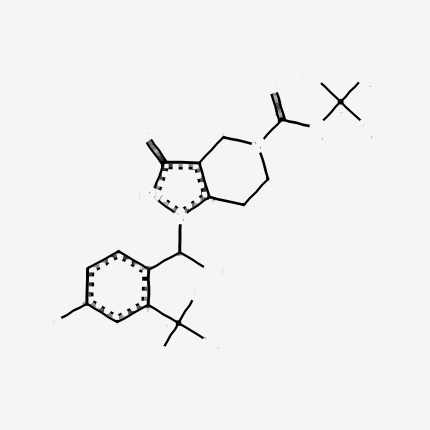 CC(c1ccc(F)cc1C(F)(F)F)n1[nH]c(=O)c2c1CCN(C(=O)OC(C)(C)C)C2